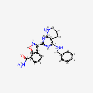 NC(=O)c1cccc2c(-c3nc4c(c(NCc5ccccc5)n3)CCCN4)noc12